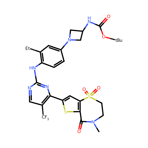 CCc1cc(N2CC(NC(=O)OC(C)(C)C)C2)ccc1Nc1ncc(C(F)(F)F)c(-c2cc3c(s2)C(=O)N(C)CCS3(=O)=O)n1